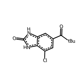 CC(C)(C)C(=O)c1cc(Cl)c2[nH]c(=O)[nH]c2c1